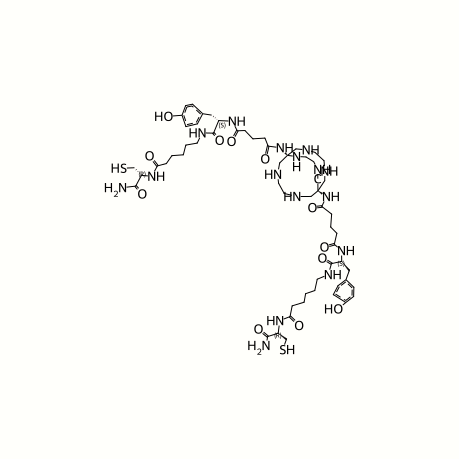 NC(=O)[C@H](CS)NC(=O)CCCCCNC(=O)[C@H](Cc1ccc(O)cc1)NC(=O)CCCC(=O)N[C@]12CNCCNC[C@](NC(=O)CCCC(=O)N[C@@H](Cc3ccc(O)cc3)C(=O)NCCCCCC(=O)N[C@@H](CS)C(N)=O)(CNCCNC1)NCCNC2